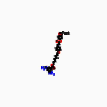 CCCCCOc1ccc(OC(=O)/C=C/c2ccc(OCCCCCCCCOC(=O)c3cc(N)cc(N)c3)cc2)cc1